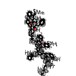 CSCC(=O)N[C@@H](Cc1ccccc1)C(=O)N(C)[C@@H](Cc1ccccc1)C(=O)N(C)[C@@H](Cc1ccc(O)cc1)C(=O)N(C)CC(=O)NC(CC(=O)O)C(=O)N[C@H](C(=O)N(C)[C@@H](Cc1ccccc1)C(=O)N[C@@H](Cc1ccc(O)cc1)C(=O)N(C)CC(=O)N[C@@H](Cc1c[nH]c2ccccc12)C(=O)N[C@@H](Cc1ccc(O)cc1)C(=O)N[C@@H](CC(C)C)C(=O)NCC(=O)NCC(N)=O)C(C)C